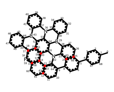 Cc1ccc(-c2ccc(-c3cccc(-c4ccc(C)cc4)c3N3c4ccccc4B4c5ccccc5N5c6ccccc6B6c7ccccc7Sc7c6c5c4c3c7-c3c(F)cccc3F)cc2)cc1